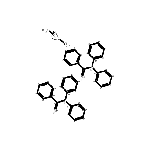 CC(=O)O.CC(=O)O.N=C(c1ccccc1)P(c1ccccc1)c1ccccc1.N=C(c1ccccc1)P(c1ccccc1)c1ccccc1